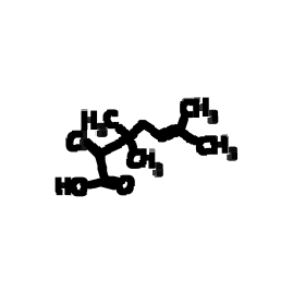 CC(C)=CCC(C)(C)C(Cl)C(=O)O